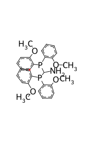 COc1ccccc1P(c1ccccc1OC)C(N)P(c1ccccc1OC)c1ccccc1OC